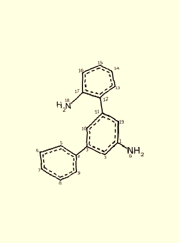 Nc1cc(-c2ccccc2)cc(-c2ccccc2N)c1